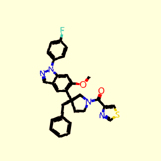 COc1cc2c(cnn2-c2ccc(F)cc2)cc1C1(Cc2ccccc2)CCN(C(=O)c2cscn2)C1